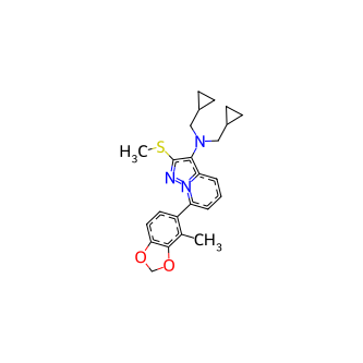 CSc1nn2c(-c3ccc4c(c3C)OCO4)cccc2c1N(CC1CC1)CC1CC1